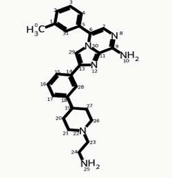 Cc1cccc(-c2cnc(N)c3nc(-c4cccc(C5CCN(CCN)CC5)c4)cn23)c1